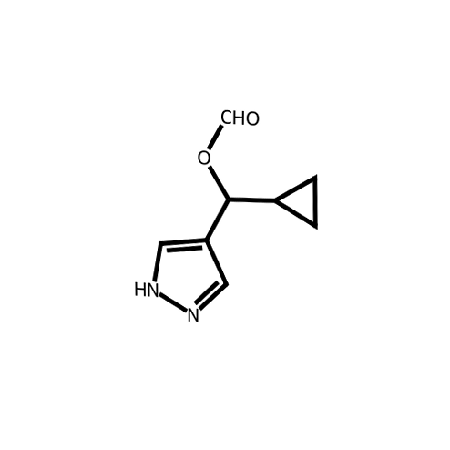 O=COC(c1cn[nH]c1)C1CC1